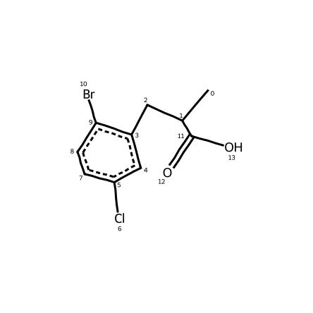 CC(Cc1cc(Cl)ccc1Br)C(=O)O